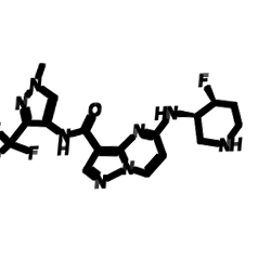 Cn1cc(NC(=O)c2cnn3ccc(N[C@@H]4CNCC[C@@H]4F)nc23)c(C(F)(F)F)n1